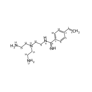 C=Cc1ccc(C(=N)NCCN(CCN)CCN)cc1